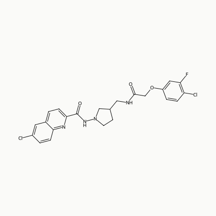 O=C(COc1ccc(Cl)c(F)c1)NCC1CCN(NC(=O)c2ccc3cc(Cl)ccc3n2)C1